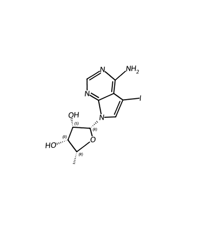 C[C@H]1O[C@@H](n2cc(I)c3c(N)ncnc32)[C@@H](O)[C@H]1O